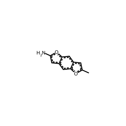 Cc1cc2cc3oc(N)cc3cc2o1